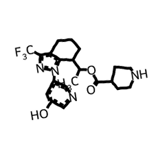 CC(OC(=O)C1CCNCC1)C1CCCc2c(C(F)(F)F)nn(-c3cncc(O)c3)c21